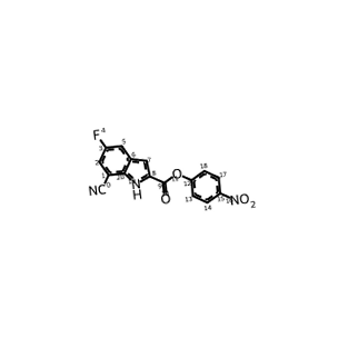 N#Cc1cc(F)cc2cc(C(=O)Oc3ccc([N+](=O)[O-])cc3)[nH]c12